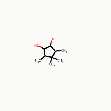 CC1C(O)C(O)C(C)C1(C)C